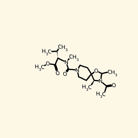 COC(=O)[C@H](C(C)C)N(C)C(=O)N1CCC2(CC1)OC(C)N(C(C)=O)[C@H]2C